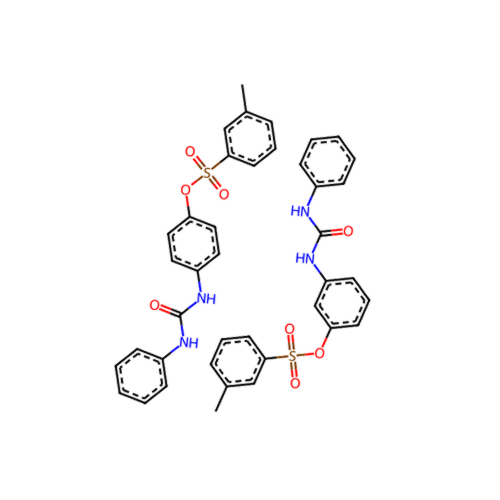 Cc1cccc(S(=O)(=O)Oc2ccc(NC(=O)Nc3ccccc3)cc2)c1.Cc1cccc(S(=O)(=O)Oc2cccc(NC(=O)Nc3ccccc3)c2)c1